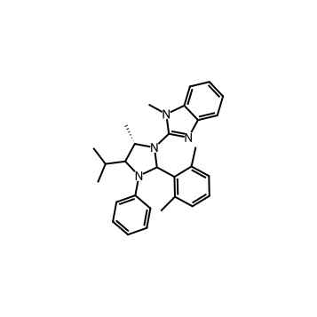 Cc1cccc(C)c1C1N(c2ccccc2)C(C(C)C)[C@H](C)N1c1nc2ccccc2n1C